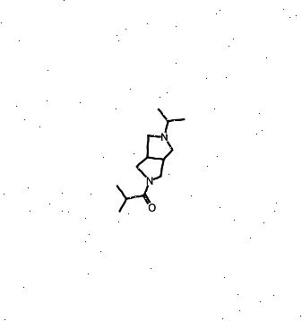 CC(C)C(=O)N1CC2CN(C(C)C)CC2C1